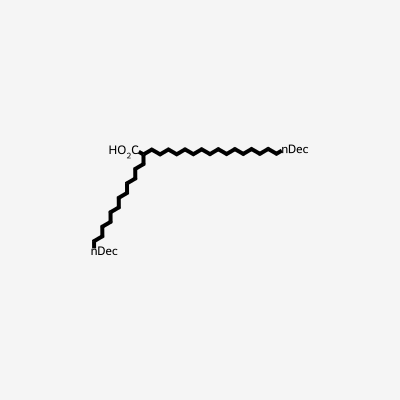 CCCCCCCCCCCCCCCCCCCCCCCCCCC(CCCCCCCCCCCCCCCCCCCCCC)C(=O)O